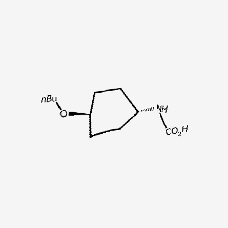 CCCCO[C@H]1CC[C@H](NC(=O)O)CC1